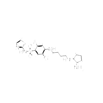 N[C@@H]1CCC[C@H]1NCCCCNc1cc(F)c(S(=O)(=O)Nc2nccs2)cc1Cl